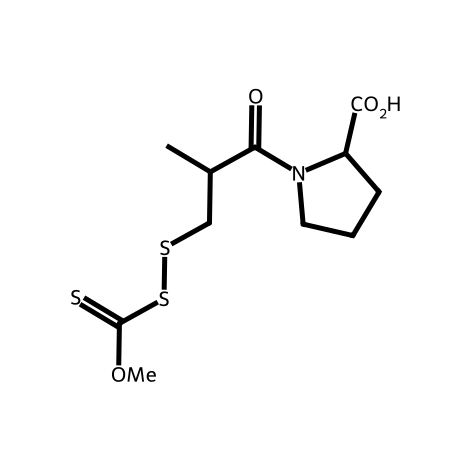 COC(=S)SSCC(C)C(=O)N1CCCC1C(=O)O